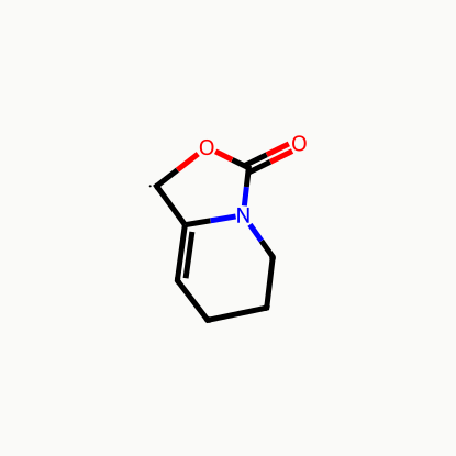 O=C1O[CH]C2=CCCCN12